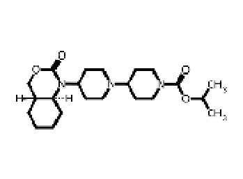 CC(C)OC(=O)N1CCC(N2CCC(N3C(=O)OC[C@H]4CCCC[C@@H]43)CC2)CC1